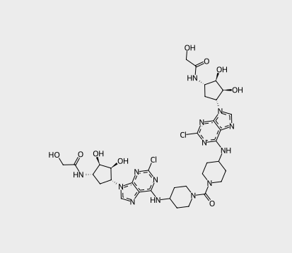 O=C(CO)N[C@H]1C[C@@H](n2cnc3c(NC4CCN(C(=O)N5CCC(Nc6nc(Cl)nc7c6ncn7[C@@H]6C[C@H](NC(=O)CO)[C@@H](O)[C@H]6O)CC5)CC4)nc(Cl)nc32)[C@H](O)[C@@H]1O